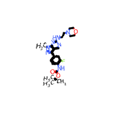 Cn1nc(-c2ccc(NC(=O)OC(C)(C)C)c(F)c2)c2cnc(NCCN3CCOCC3)nc21